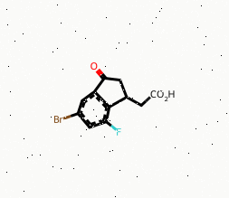 O=C(O)CC1CC(=O)c2cc(Br)cc(F)c21